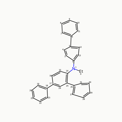 CCN(c1ccc(-c2ccccc2)cc1)c1ccc(-c2ccccc2)cc1-c1ccccc1